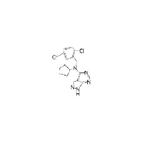 Clc1ccc(Cl)c(CN(c2ncnc3[nH]ncc23)C2CCCC2)c1